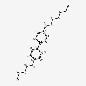 CCCCCCOc1ccc(-c2ccc(CCCCC)cn2)cc1